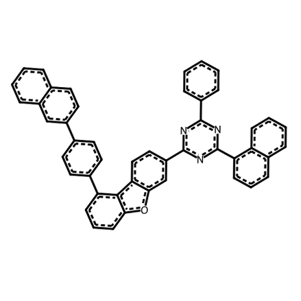 c1ccc(-c2nc(-c3ccc4c(c3)oc3cccc(-c5ccc(-c6ccc7ccccc7c6)cc5)c34)nc(-c3cccc4ccccc34)n2)cc1